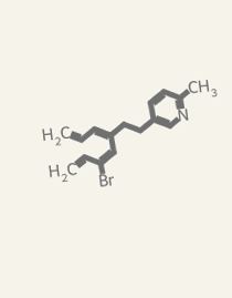 C=C/C=C(\C=C(\Br)C=C)CCc1ccc(C)nc1